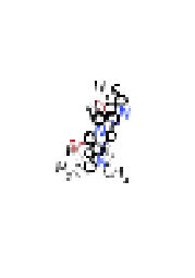 CCN1/C(=C/C=C2\CCC(/C=C/C3=Nc4ccc(C)cc4C3(C)C)=C2N(c2ccc(Br)cc2)c2ccc(Br)cc2)C(C)(C)c2cc(C)ccc21